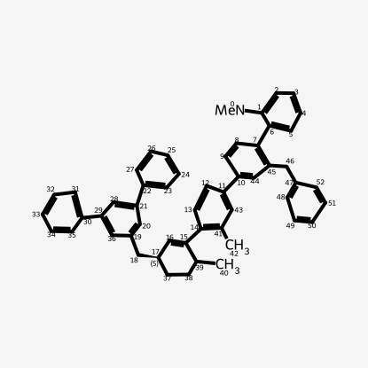 CNc1ccccc1-c1ccc(-c2ccc(C3=C[C@H](Cc4cc(-c5ccccc5)cc(-c5ccccc5)c4)CCC3C)c(C)c2)cc1Cc1ccccc1